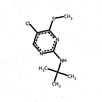 CSc1nc(NC(C)(C)C)ncc1Cl